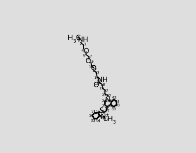 CNCCCOCCOCCOCCCNC(=O)CCCCCN1C=CC(=Cc2sc3ccccc3[n+]2C)c2ccccc21